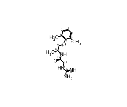 Cc1cccc(C)c1OCC(C)NC(=O)CNC(=N)N